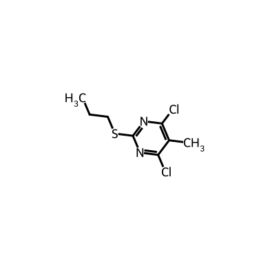 CCCSc1nc(Cl)c(C)c(Cl)n1